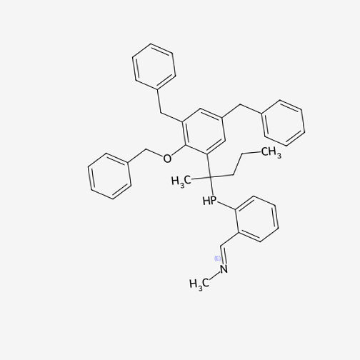 CCCC(C)(Pc1ccccc1/C=N/C)c1cc(Cc2ccccc2)cc(Cc2ccccc2)c1OCc1ccccc1